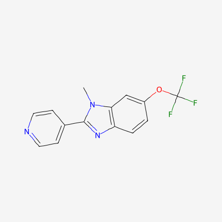 Cn1c(-c2ccncc2)nc2ccc(OC(F)(F)F)cc21